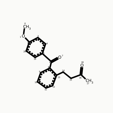 COc1ccc(C(=O)c2ccccc2CCC(C)=O)cc1